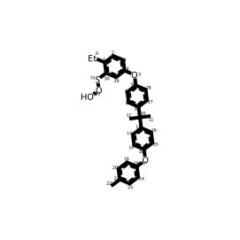 CCc1ccc(Oc2ccc(C(C)(C)c3ccc(Oc4ccc(C)cc4)cc3)cc2)cc1SOO